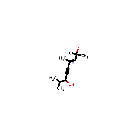 C/C(C#CC(O)C(C)C)=C\C(C)(C)O